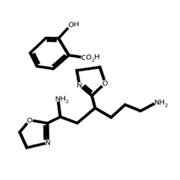 NCCCC(CC(N)C1=NCCO1)C1=NCCO1.O=C(O)c1ccccc1O